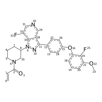 C=CC(=O)N1CCCC(n2nc(-c3ccc(Oc4cccc(OC)c4F)cc3)c3cncc(F)c32)C1